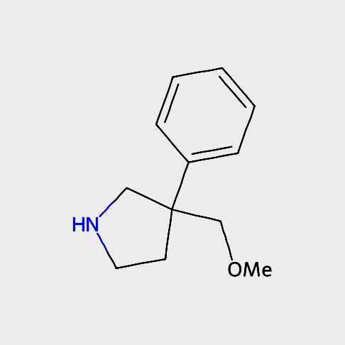 COCC1(c2ccccc2)CCNC1